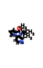 CC(C)(C)n1c(=O)c2cccn2c2ccncc21